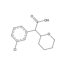 O=C(O)C(c1cccc(Cl)c1)C1CCCCO1